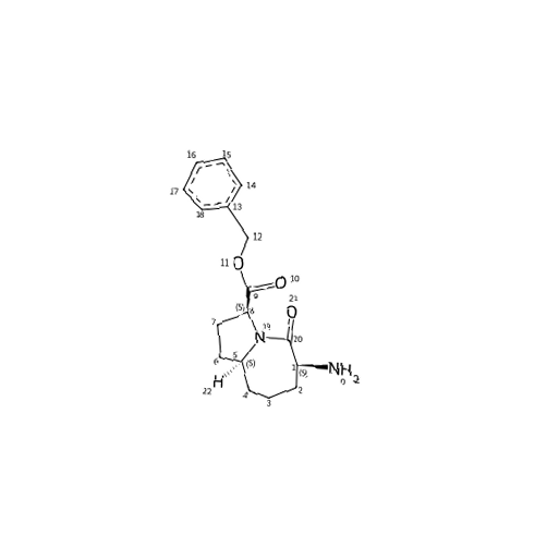 N[C@H]1CCC[C@H]2CC[C@@H](C(=O)OCc3ccccc3)N2C1=O